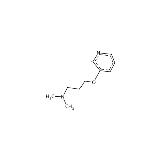 CN(C)CCCOc1[c]nccc1